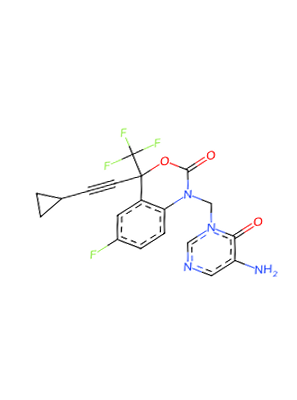 Nc1cncn(CN2C(=O)OC(C#CC3CC3)(C(F)(F)F)c3cc(F)ccc32)c1=O